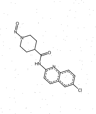 O=NN1CCC(C(=O)Nc2ccc3cc(Cl)ccc3n2)CC1